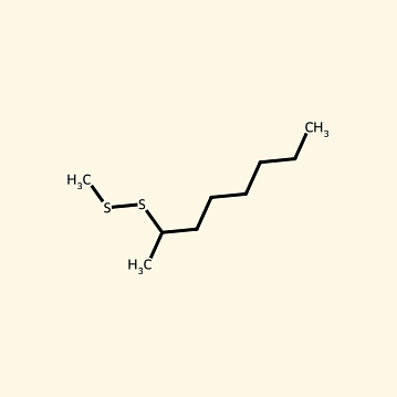 CCCCCCC(C)SSC